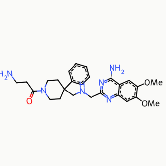 COc1cc2nc(CNCC3(c4ccccc4)CCN(C(=O)CCN)CC3)nc(N)c2cc1OC